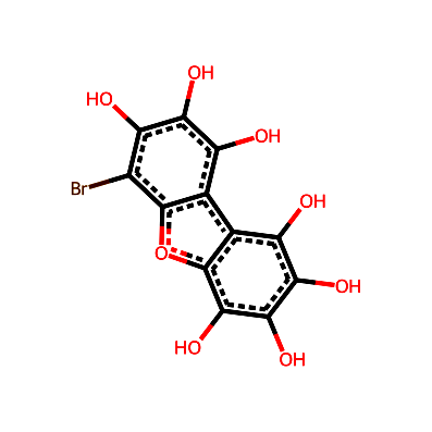 Oc1c(O)c(O)c2c(oc3c(Br)c(O)c(O)c(O)c32)c1O